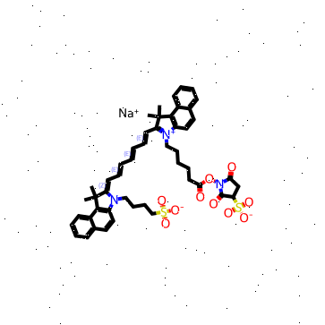 CC1(C)C(/C=C/C=C/C=C/C=C2\N(CCCCS(=O)(=O)[O-])c3ccc4ccccc4c3C2(C)C)=[N+](CCCCCC(=O)ON2C(=O)CC(S(=O)(=O)[O-])C2=O)c2ccc3ccccc3c21.[Na+]